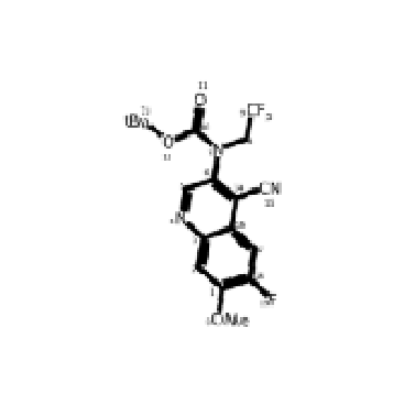 COc1cc2ncc(N(CC(F)(F)F)C(=O)OC(C)(C)C)c(C#N)c2cc1F